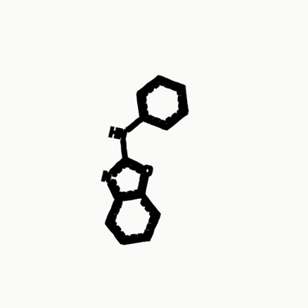 c1ccc(Nc2nc3ccccc3o2)cc1